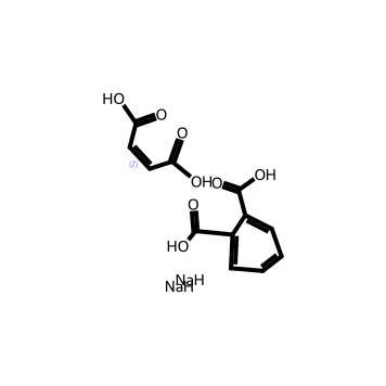 O=C(O)/C=C\C(=O)O.O=C(O)c1ccccc1C(=O)O.[NaH].[NaH]